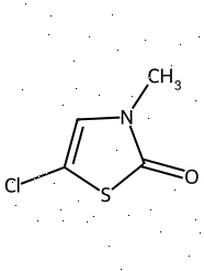 Cn1cc(Cl)sc1=O